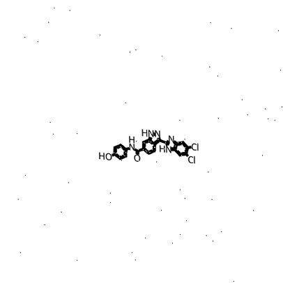 O=C(Nc1ccc(O)cc1)c1ccc2c(-c3nc4cc(Cl)c(Cl)cc4[nH]3)n[nH]c2c1